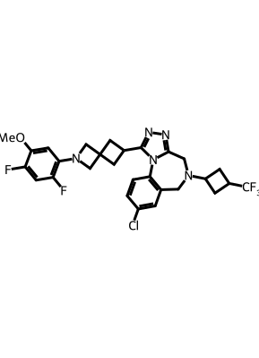 COc1cc(N2CC3(CC(c4nnc5n4-c4ccc(Cl)cc4CN(C4CC(C(F)(F)F)C4)C5)C3)C2)c(F)cc1F